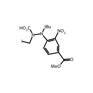 COC(=O)c1ccc(N(N(CI)C(=O)O)C(C)(C)C)c([N+](=O)[O-])c1